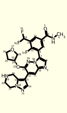 CNC(=O)c1cc(-c2cnc3cc(-c4cnn5c4CNCC5)c(O[C@H]4CCOC4)nn23)c(F)c(C(F)F)c1